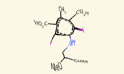 COC(CNc1c(I)c(C(=O)O)c(C)c(C(=O)O)c1I)OC